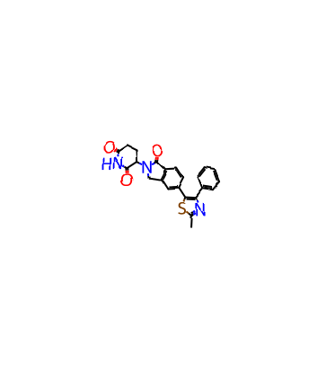 Cc1nc(-c2ccccc2)c(-c2ccc3c(c2)CN(C2CCC(=O)NC2=O)C3=O)s1